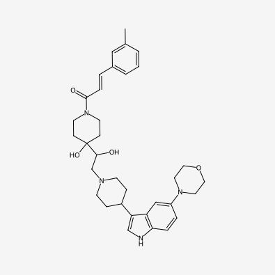 Cc1cccc(C=CC(=O)N2CCC(O)(C(O)CN3CCC(c4c[nH]c5ccc(N6CCOCC6)cc45)CC3)CC2)c1